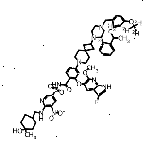 [2H]C([2H])([2H])Oc1ccc(CN2CCN(C3CC4(CCN(c5ccc(C(=O)NS(=O)(=O)c6cnc(NCC7CCC(C)(O)CC7)c([N+](=O)[O-])c6)c(Oc6cc7c(F)c[nH]c7nc6OC)c5)CC4)C3)[C@H](c3ccccc3C(C)C)C2)cc1